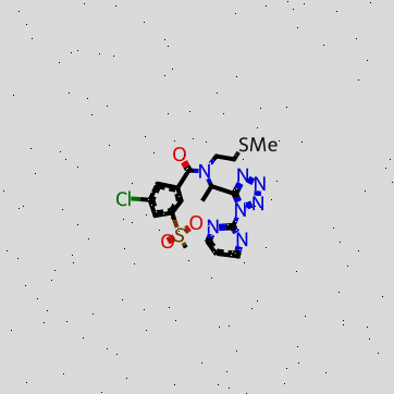 CSCCN(C(=O)c1cc(Cl)cc(S(C)(=O)=O)c1)C(C)c1nnnn1-c1ncccn1